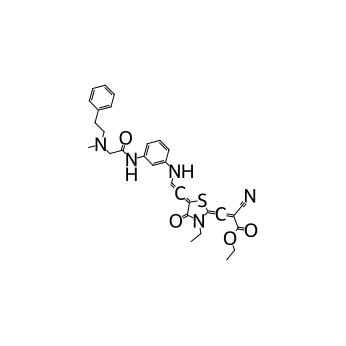 CCOC(=O)C(=C=c1sc(=C=CNc2cccc(NC(=O)CN(C)CCc3ccccc3)c2)c(=O)n1CC)C#N